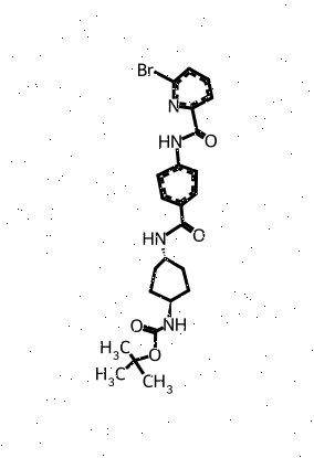 CC(C)(C)OC(=O)N[C@H]1CC[C@H](NC(=O)c2ccc(NC(=O)c3cccc(Br)n3)cc2)CC1